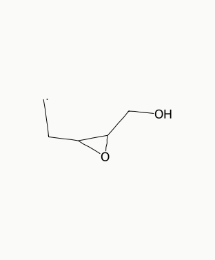 [CH2]CC1OC1CO